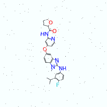 CC(C)c1cc(Nc2nc3cc(Oc4ccnc(NC(=O)C5CCCO5)c4)ccc3n2C)ccc1F